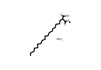 CCCCCCCCCCCCCCCCCCC(C(=O)O)C(=O)OC.[BaH2]